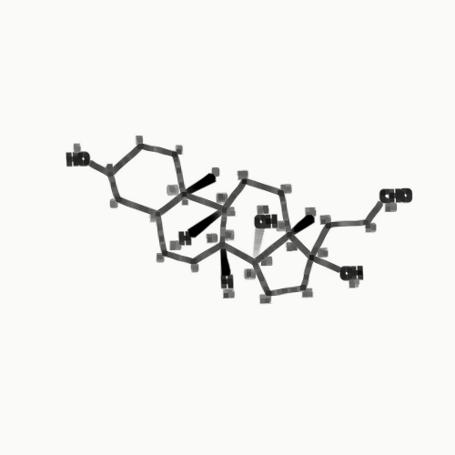 C[C@]12CCC(O)CC1CC[C@@H]1[C@H]2CC[C@]2(C)C(O)(CCC=O)CC[C@@]12O